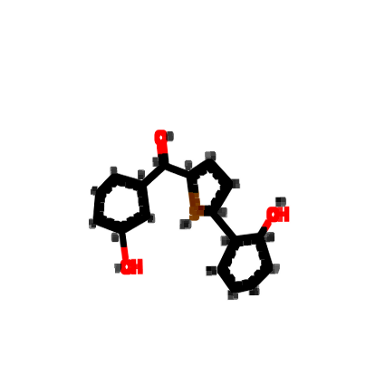 O=C(c1cccc(O)c1)c1ccc(-c2ccccc2O)s1